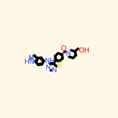 O=C([C@H]1CCc2c(sc3ncnc(Nc4ccc5[nH]ncc5c4)c23)C1)N1CCCC(CO)C1